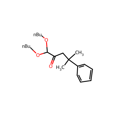 CCCCOC(OCCCC)C(=O)CC(C)(C)c1ccccc1